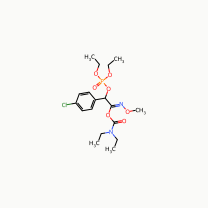 CCOP(=O)(OCC)OC(C(=NOC)OC(=O)N(CC)CC)c1ccc(Cl)cc1